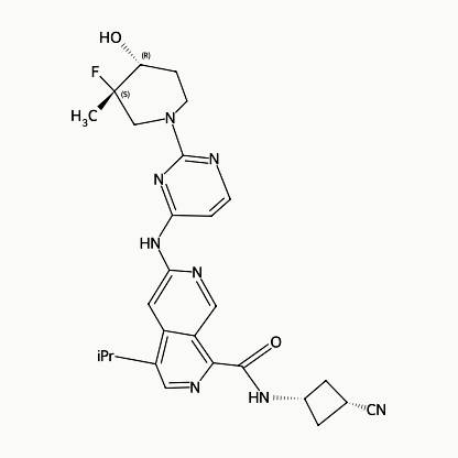 CC(C)c1cnc(C(=O)N[C@H]2C[C@@H](C#N)C2)c2cnc(Nc3ccnc(N4CC[C@@H](O)[C@@](C)(F)C4)n3)cc12